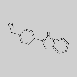 CCc1ccc(-c2cc3ccccc3[nH]2)cc1